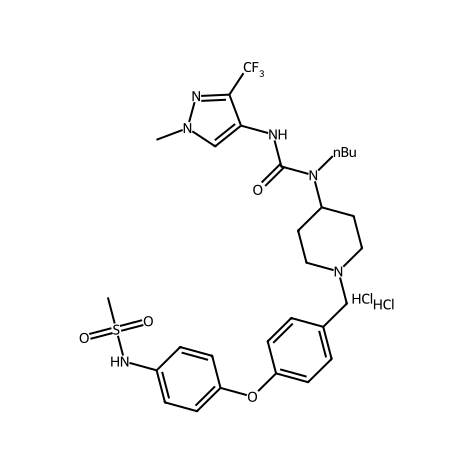 CCCCN(C(=O)Nc1cn(C)nc1C(F)(F)F)C1CCN(Cc2ccc(Oc3ccc(NS(C)(=O)=O)cc3)cc2)CC1.Cl.Cl